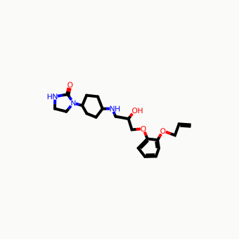 C=CCOc1ccccc1OCC(O)CNC1CCC(N2CCNC2=O)CC1